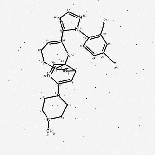 CN1CCN(C2=CC3=COC4CCC=C(c5ncnn5-c5ccc(F)cc5F)SC34C=N2)CC1